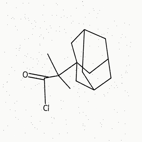 CC(C)(C(=O)Cl)C12CC3CC(CC(C3)C1)C2